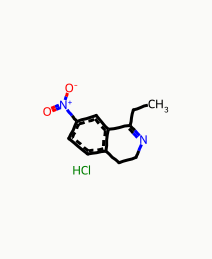 CCC1=NCCc2ccc([N+](=O)[O-])cc21.Cl